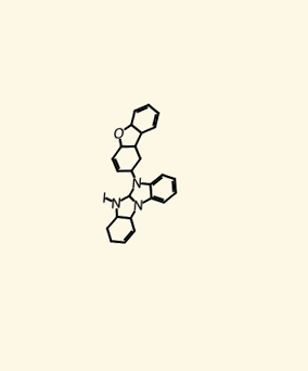 IN1C2CCC=CC2N2c3ccccc3N(C3C=CC4OC5C=CC=CC5C4C3)C12